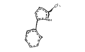 FC(F)(F)c1ccc(-c2ccccc2)[nH]1